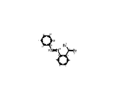 BrC(Br)c1ccccc1N=Nc1ccccc1